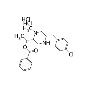 CC(OC(=O)c1ccccc1)[C@H]1CN[C@@H](Cc2ccc(Cl)cc2)CN1C.Cl.Cl